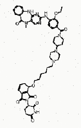 CCOc1cc(C(=O)N2CCC(N3CCN(CCCCCCOC4CC=CC5=C4C(=O)N(C4CCC(=O)NC4=O)C5=O)CC3)CC2)ccc1Nc1ncc2c(n1)Nc1ccccc1C(=O)N2C